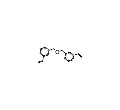 C=Cc1cccc(COCc2cccc(C=C)c2)c1